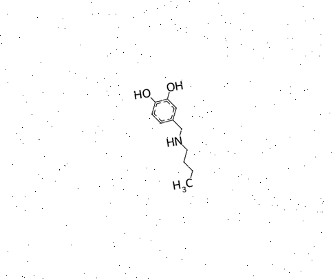 CCCCNCc1ccc(O)c(O)c1